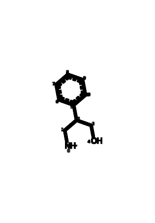 [NH]CC(CO)c1ccccc1